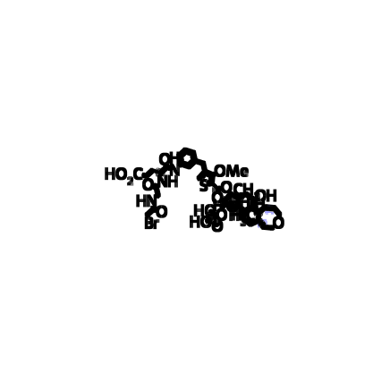 COc1c(Cc2cccc(NC(=O)[C@H](CCC(=O)O)NC(=O)CNC(=O)CBr)c2)csc1[C@@H]1O[C@@H]2C[C@H]3[C@@H]4CC/C5=C/COC/C=C\[C@]5(C)[C@H]4[C@@H](O)C[C@]3(C)[C@]2(C(=O)COP(=O)(O)O)O1